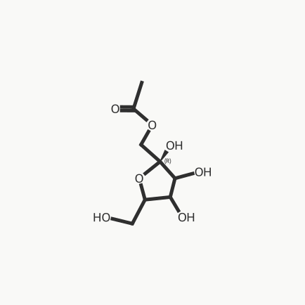 CC(=O)OC[C@@]1(O)OC(CO)C(O)C1O